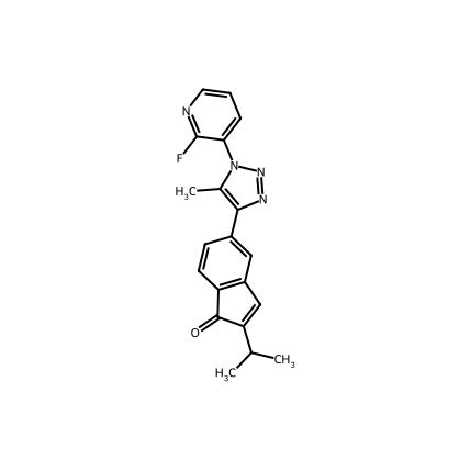 Cc1c(-c2ccc3c(c2)C=C(C(C)C)C3=O)nnn1-c1cccnc1F